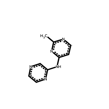 Cc1n[c]cc(Nc2cnccn2)n1